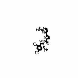 CNc1nccc(-c2ccc(C(=O)N[C@H](CCN(C)C)Cc3ccc(Cl)cc3Cl)s2)n1